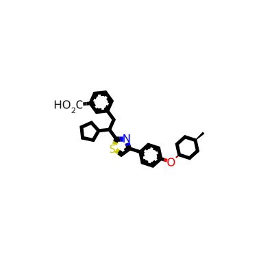 C[C@H]1CC[C@H](Oc2ccc(-c3csc(C(Cc4cccc(C(=O)O)c4)C4CCCC4)n3)cc2)CC1